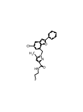 Cc1cc(C(=O)NCCF)nn1Cc1cc(Cl)cc2cc(-c3ccccc3)oc12